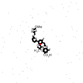 COc1nnc(COc2cccc(-c3ccc(Cc4nc5c(F)cc(C(=O)O)cc5n4C4COCC4(C)C)c(F)c3)n2)s1